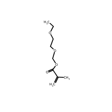 C=C(C)C(=O)OCOCCOCC